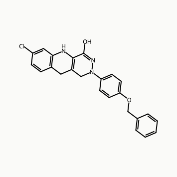 OC1=NN(c2ccc(OCc3ccccc3)cc2)CC2=C1Nc1cc(Cl)ccc1C2